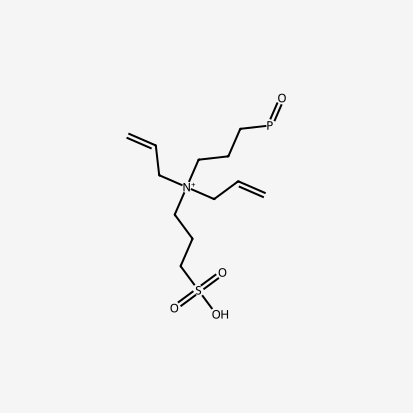 C=CC[N+](CC=C)(CCCP=O)CCCS(=O)(=O)O